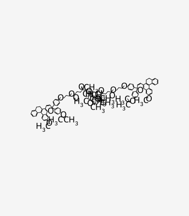 COc1ccc2c3c(c4c(c2c1)OC(c1ccc(OCCCOC(=O)CCC(=O)C(C)(C)OC(C)CC(C)(C)OC(C)(C)CC(C)OC(C)(C)C(=O)CCC(=O)OCCCOc2ccc(C5(c6ccc(OC(C)C)cc6)C=Cc6c7c(c8ccc(OC)cc8c6O5)-c5ccccc5CC7)cc2)cc1)(c1ccc(OC(C)C)cc1)C=C4)CCc1ccccc1-3